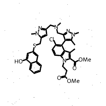 COC(=O)CCn1c(C(=O)OC)c(C)c2c(-c3c(CN(C)Cc4cc(CSc5cc(O)c6ccccc6c5)n(C)n4)nn(C)c3C)c(Cl)ccc21